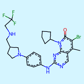 Cc1c(Br)c(=O)n(C2CCCC2)c2nc(Nc3ccc(N4CCC(CNCC(F)(F)F)C4)cc3)ncc12